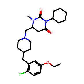 CCOc1ccc(Cl)c(CC2CCN(CC3CC(=O)N(C4CCCCC4)C(=O)N3C)CC2)c1